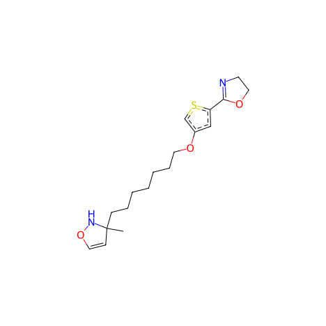 CC1(CCCCCCCOc2csc(C3=NCCO3)c2)C=CON1